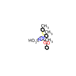 Cc1ccc(Sc2ccccc2N2CCN(C(=O)O)CC2C(C)OC(=O)c2ccccc2)c(C)c1